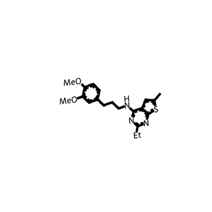 CCc1nc(NCCCc2ccc(OC)c(OC)c2)c2cc(C)sc2n1